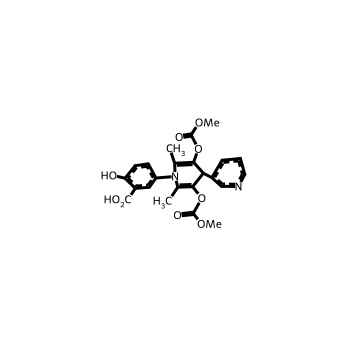 COC(=O)OC1=C(C)N(c2ccc(O)c(C(=O)O)c2)C(C)=C(OC(=O)OC)C1c1cccnc1